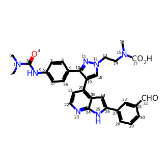 CN(C)C(=O)Nc1ccc(-c2nn(CCN(C)C(=O)O)cc2-c2ccnc3[nH]c(-c4cccc(C=O)c4)cc23)cc1